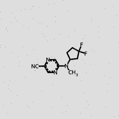 CN(c1cnc(C#N)cn1)C1CCC(F)(F)C1